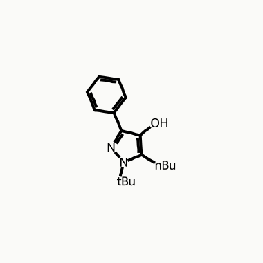 CCCCc1c(O)c(-c2ccccc2)nn1C(C)(C)C